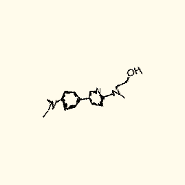 CN(C)c1ccc(-c2ccc(N(C)CCO)nc2)cc1